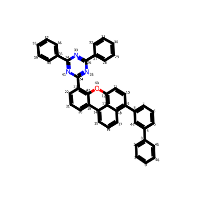 c1ccc(-c2cccc(-c3ccc4c5c(cccc35)-c3cccc(-c5nc(-c6ccccc6)nc(-c6ccccc6)n5)c3O4)c2)cc1